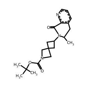 CC1Cc2cccnc2C(=O)N1C1CC2(C1)CN(C(=O)OC(C)(C)C)C2